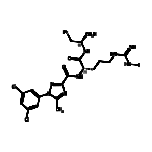 Cc1nc(C(=O)N[C@@H](CCCNC(=N)NI)C(=O)N[C@@H](CC(C)C)C(=O)O)nn1-c1cc(Cl)cc(Cl)c1